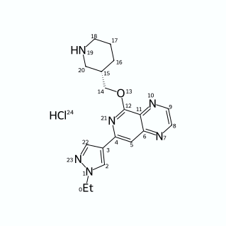 CCn1cc(-c2cc3nccnc3c(OC[C@H]3CCCNC3)n2)cn1.Cl